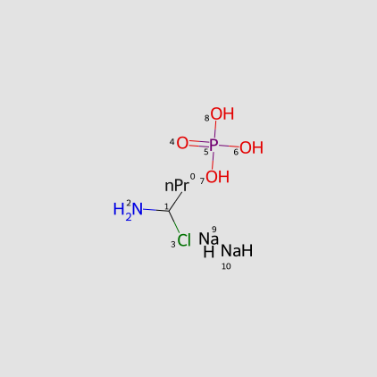 CCCC(N)Cl.O=P(O)(O)O.[NaH].[NaH]